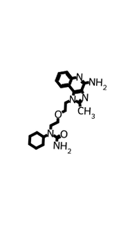 Cc1nc2c(N)nc3ccccc3c2n1CCOCCN(C(N)=O)C1CCCCC1